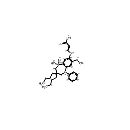 CCCCC1(CCCC)CN(c2ccccc2)c2cc(OC)c(OC=CC(=O)O)cc2S(O)(O)C1